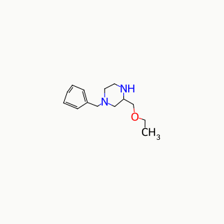 CCOCC1CN(Cc2ccccc2)CCN1